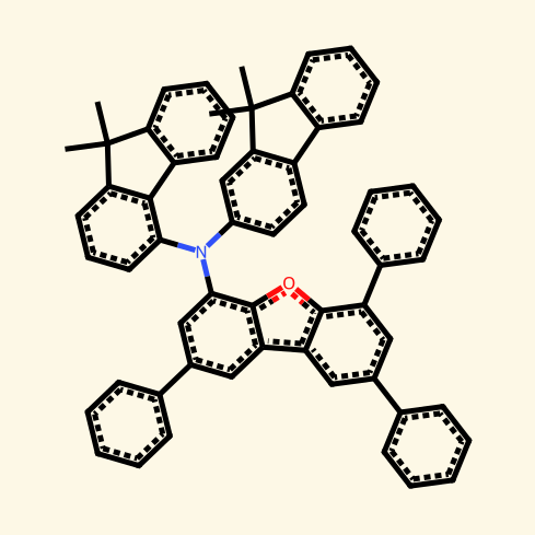 CC1(C)c2ccccc2-c2ccc(N(c3cccc4c3-c3ccccc3C4(C)C)c3cc(-c4ccccc4)cc4c3oc3c(-c5ccccc5)cc(-c5ccccc5)cc34)cc21